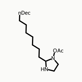 CCCCCCCCCCCCCCCCCC1NCCN1OC(C)=O